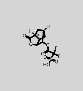 O=C1OC2C(OC(=O)C(F)(F)S(=O)(=O)O)[C@H]3CC2[C@H]1C3